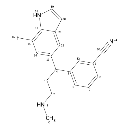 CNCCC(c1cccc(C#N)c1)c1cc(F)c2[nH]ccc2c1